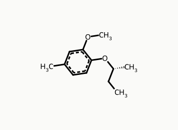 CC[C@@H](C)Oc1ccc(C)cc1OC